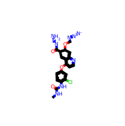 CNC(=O)Nc1ccc(Oc2ccnc3c2=CC(C(=O)N=NN)C(OCN=[N+]=[N-])C=3)cc1Cl